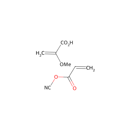 C=C(OC)C(=O)O.C=CC(=O)OC#N